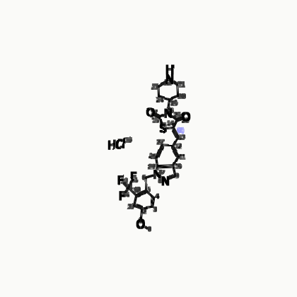 COc1ccc(Cn2ncc3cc(/C=C4\SC(=O)N(C5CCNCC5)C4=O)ccc32)c(C(F)(F)F)c1.Cl